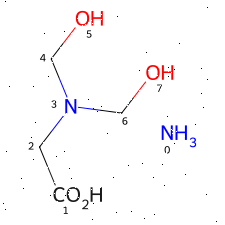 N.O=C(O)CN(CO)CO